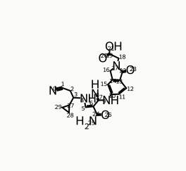 N#CCC(N/C=C(\C(=N)Nc1ccc2c(c1)CN(CC(=O)O)C2=O)C(N)=O)C1CC1